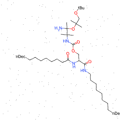 CCCCCCCCCCCCCCCCCCNC(=O)C(COC(=O)NC(C)(C)C(C)(N)OC(C)(C)COC(C)(C)C)NC(=O)CCCCCCCCCCCCCCCCC